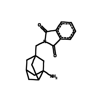 NC12CC3CC1CC(CN1C(=O)c4ccccc4C1=O)(C3)C2